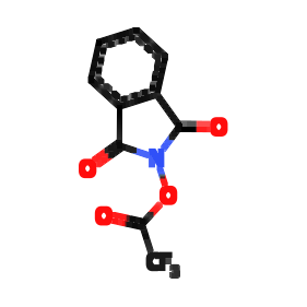 O=C1c2ccccc2C(=O)N1OC(=O)C(F)(F)F